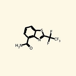 NC(=O)c1cccc2sc(C(F)(F)C(F)(F)F)nc12